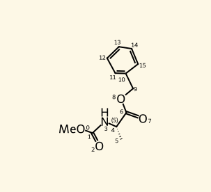 COC(=O)N[C@@H](C)C(=O)OCc1ccccc1